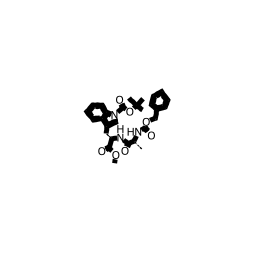 COC(=O)[C@H](Cc1cn(C(=O)OC(C)(C)C)c2ccccc12)NC(=O)[C@@H](C)NC(=O)OCc1ccccc1